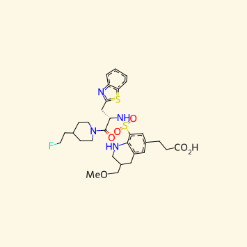 COCC1CNc2c(cc(CCC(=O)O)cc2S(=O)(=O)N[C@@H](Cc2nc3ccccc3s2)C(=O)N2CCC(CCF)CC2)C1